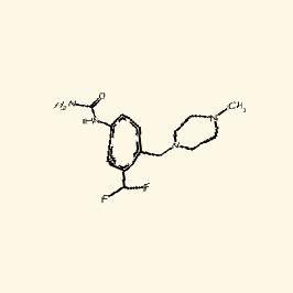 CN1CCN(Cc2ccc(NC(N)=O)cc2C(F)F)CC1